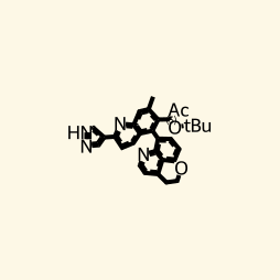 CC(=O)[C@@H](OC(C)(C)C)c1c(C)cc2nc(-c3cn[nH]c3)ccc2c1-c1ccc2c3c(ccnc13)CCO2